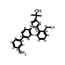 CC(C)(O)c1cn(-c2ccc(-c3cccc(N)c3)cc2)c(-c2ccccc2CI)n1